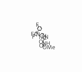 COC(=O)NC(=O)c1cnn2ccc(N3CC(F)(F)C[C@@H]3c3cccc(F)c3)nc12